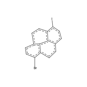 Brc1ccc2ccc3c(I)ccc4ccc1c2c43